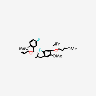 C=CCO[C@@H](CC(C)Cc1cc(OC)c([C@H](CC(C)C)OCCCOC)cc1F)c1cc(F)ccc1OC